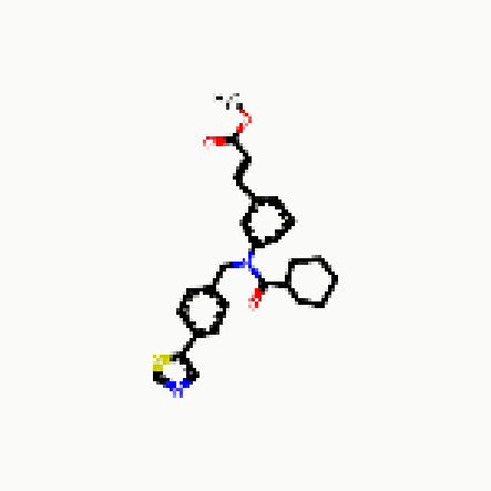 COC(=O)/C=C/c1cccc(N(Cc2ccc(-c3cncs3)cc2)C(=O)C2CCCCC2)c1